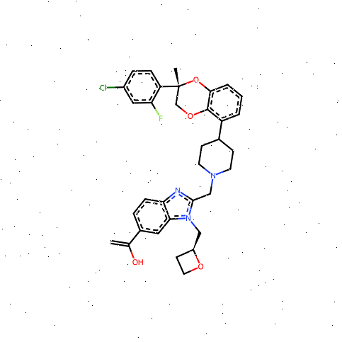 C=C(O)c1ccc2nc(CN3CCC(c4cccc5c4OC[C@](C)(c4ccc(Cl)cc4F)O5)CC3)n(C[C@@H]3CCO3)c2c1